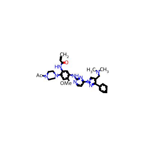 C=CC(=O)Nc1cc(Nc2nccc(-n3cc(CN(C)C)c(-c4ccccc4)n3)n2)c(OC)cc1N1CCN(C(C)=O)CC1